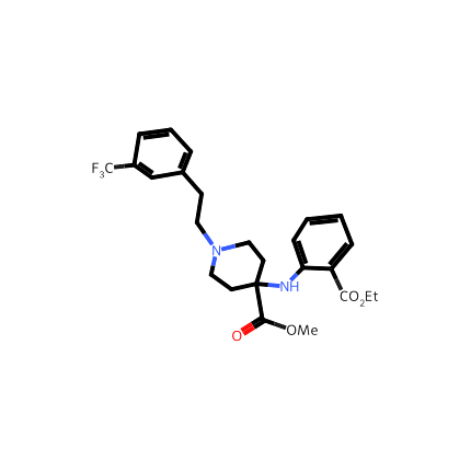 CCOC(=O)c1ccccc1NC1(C(=O)OC)CCN(CCc2cccc(C(F)(F)F)c2)CC1